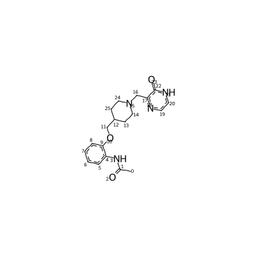 CC(=O)Nc1ccccc1OCC1CCN(Cc2ncc[nH]c2=O)CC1